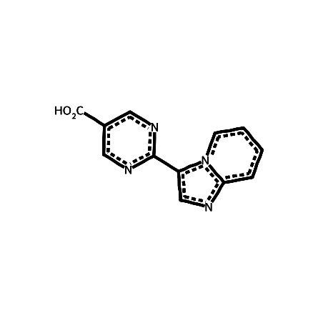 O=C(O)c1cnc(-c2cnc3ccccn23)nc1